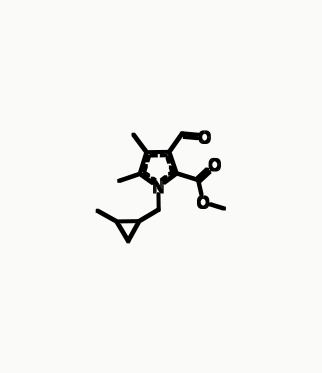 COC(=O)c1c(C=O)c(C)c(C)n1CC1CC1C